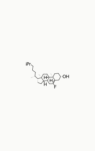 CC(C)CCC[C@@H](C)[C@H]1CC[C@H]2[C@@H]3CC(F)=C4C[C@@H](O)CC[C@]4(C)[C@H]3CC[C@]12C